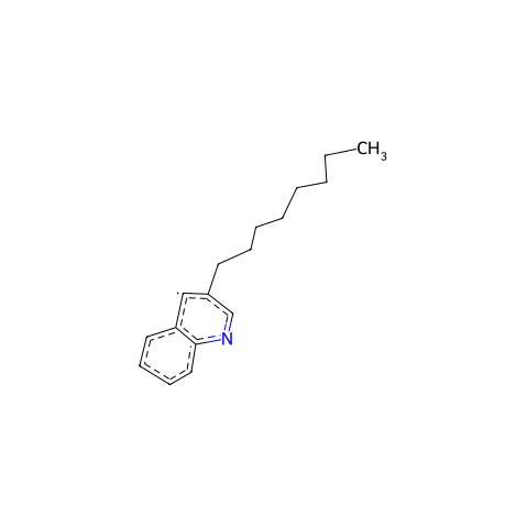 CCCCCCCCc1[c]c2ccccc2nc1